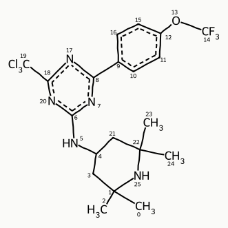 CC1(C)CC(Nc2nc(-c3ccc(OC(F)(F)F)cc3)nc(C(Cl)(Cl)Cl)n2)CC(C)(C)N1